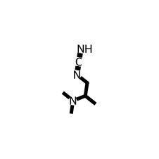 CC(CN=C=N)N(C)C